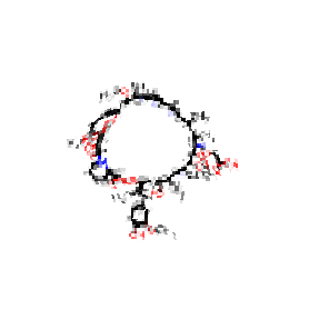 CO[C@H]1C[C@@H]2CC[C@@H](C)[C@@](O)(O2)C(=O)C(=O)N2CCCC[C@H]2C(=O)O[C@H]([C@H](C)C[C@@H]2CC[C@@H](O)[C@H](OC)C2)C[C@@H](O)[C@H](C)/C=C(\C)[C@@H](O)[C@@H](OC)C(=NOCC(=O)O)[C@H](C)C[C@H](C)/C=C/C=C/C=C/1C